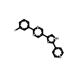 Fc1cccc(-c2ncc(-c3c[nH]c(-c4ccncc4)n3)cn2)c1